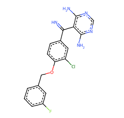 N=C(c1ccc(OCc2cccc(F)c2)c(Cl)c1)c1c(N)ncnc1N